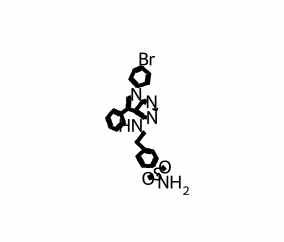 NS(=O)(=O)c1ccc(CCNc2ncnc3c2c(-c2ccccc2)cn3-c2ccc(Br)cc2)cc1